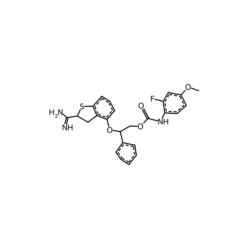 COc1ccc(NC(=O)OCC(Oc2cccc3c2CC(C(=N)N)S3)c2ccccc2)c(F)c1